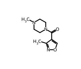 Cc1nocc1C(=O)N1CCN(C)CC1